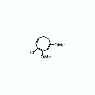 COC1=C(Cl)/C=C\CC/C(OC)=C\1